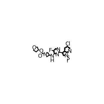 O=C(O[C@H]1CCOC1)N1CC(Nc2nc(-c3cn(SI)c4ncc(Cl)cc34)ncc2F)C1